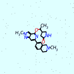 CC(Oc1nc(-c2ccc3c(c2)CN(C)CC3)cc2nn(C)cc12)C1CNC(=O)C1